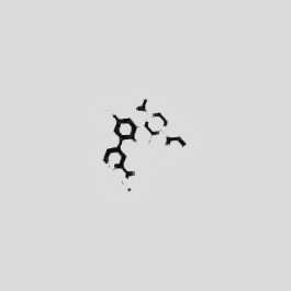 C=CC(=O)N1CCN(C(C)=O)[C@@H](c2cc(Cl)cc(-c3ccnc(C(=O)NC)c3)c2F)[C@@H]1C